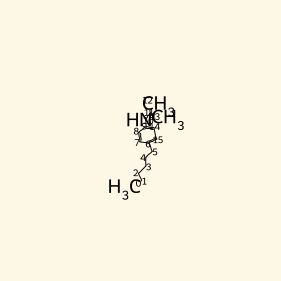 CCCCCCc1ccc(NC(C)C)cc1